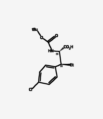 CC[C@@H](c1ccc(Cl)cc1)[C@H](NC(=O)OC(C)(C)C)C(=O)O